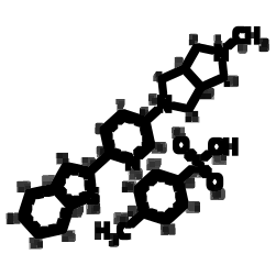 CN1CC2CN(c3ccc(-c4cc5ccccc5s4)nc3)CC2C1.Cc1ccc(S(=O)(=O)O)cc1